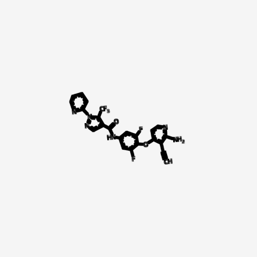 C#Cc1c(Oc2c(F)cc(NC(=O)c3cnn(-c4ccccn4)c3C(F)(F)F)cc2F)ccnc1N